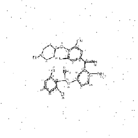 CCN1CCC(Oc2c(C)cc(C(=N)c3cc(O[C@H](N)c4c(Cl)cncc4Cl)ccc3N)cc2C#N)CC1